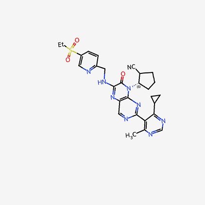 CCS(=O)(=O)c1ccc(CNc2nc3cnc(-c4c(C)ncnc4C4CC4)nc3n([C@H]3CCCC3C#N)c2=O)nc1